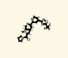 Cn1c(C(=O)N2CCCC2)cc2cc(-c3cc(-c4noc(C(F)(F)F)n4)ccn3)ncc21